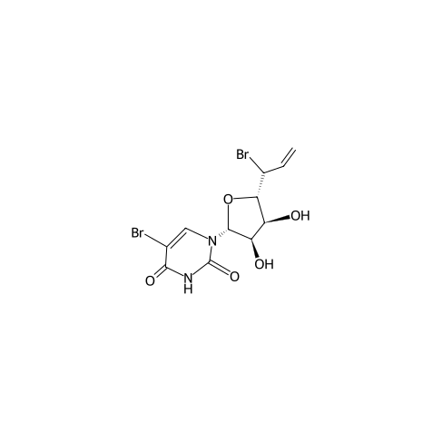 C=CC(Br)[C@H]1O[C@@H](n2cc(Br)c(=O)[nH]c2=O)[C@H](O)[C@@H]1O